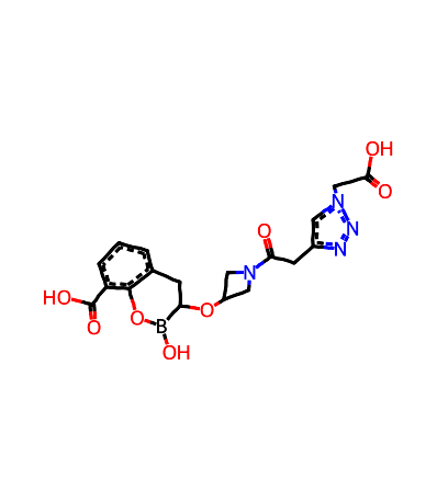 O=C(O)Cn1cc(CC(=O)N2CC(OC3Cc4cccc(C(=O)O)c4OB3O)C2)nn1